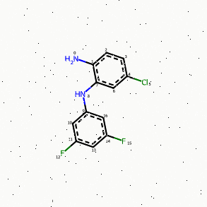 Nc1ccc(Cl)cc1Nc1cc(F)cc(F)c1